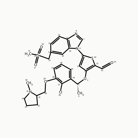 C[C@@H](Oc1cc(-n2cnc3ccc(CS(C)(=O)=O)cc32)sc1C=O)c1cccc(OCC2CCCN2C)c1Cl